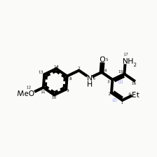 CC/C=C\C(C(=O)NCc1ccc(OC)cc1)=C(/C)N